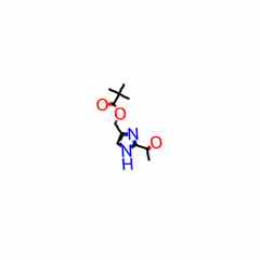 CC(=O)c1nc(COC(=O)C(C)(C)C)c[nH]1